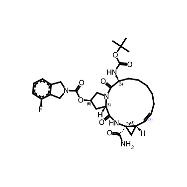 CC(C)(C)OC(=O)N[C@H]1CCCCC/C=C\[C@@H]2C[C@@]2(C(N)=O)NC(=O)[C@@H]2C[C@@H](OC(=O)N3Cc4cccc(F)c4C3)CN2C1=O